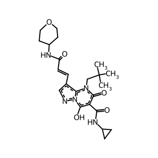 CC(C)(C)Cn1c(=O)c(C(=O)NC2CC2)c(O)n2ncc(C=CC(=O)NC3CCOCC3)c12